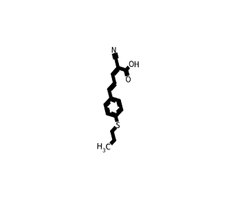 CCCSc1ccc(C=CC=C(C#N)C(=O)O)cc1